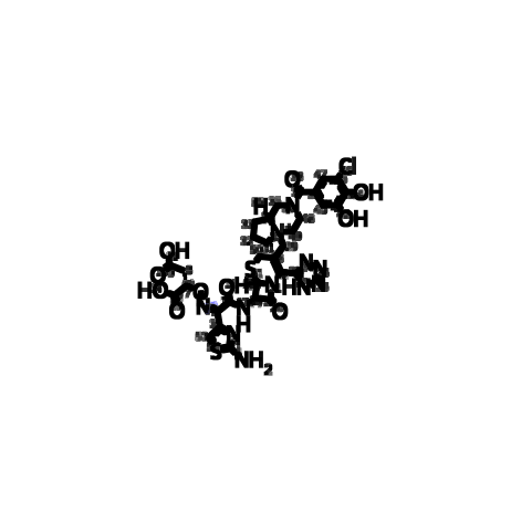 Nc1nc(/C(=N/O[C@@H](CC(=O)O)C(=O)O)C(=O)N[C@@H]2C(=O)N3C(c4nnn[nH]4)=C(C[N+]45CCC[C@H]4CN(C(=O)c4cc(O)c(O)c(Cl)c4)CC5)CS[C@H]23)cs1